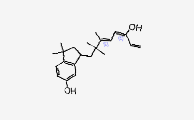 C=C/C(O)=C\C=C(/C)C(C)(C)CC1CC(C)(C)c2ccc(O)cc21